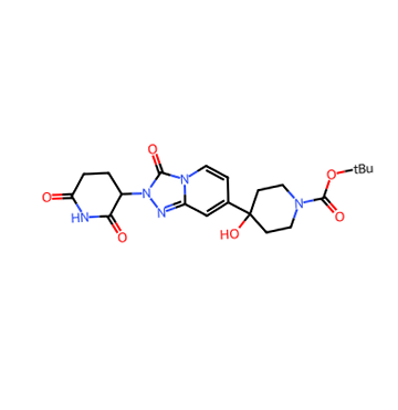 CC(C)(C)OC(=O)N1CCC(O)(c2ccn3c(=O)n(C4CCC(=O)NC4=O)nc3c2)CC1